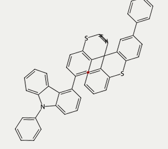 c1ccc(-c2ccc3c(c2)C2(c4ccccc4S3)c3ccccc3Sc3ccc(-c4cccc5c4c4ccccc4n5-c4ccccc4)cc32)cc1